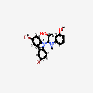 COc1cccc(N(C)C(C(C)O)n2c3ccc(Br)cc3c3cc(Br)ccc32)c1